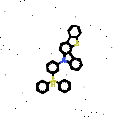 C1=CC2Sc3c(ccc4c3c3ccccc3n4-c3cccc([SH](c4ccccc4)c4ccccc4)c3)C2C=C1